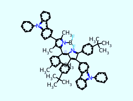 Cc1ccc(/C(=C2/N=C(c3ccc(C(C)(C)C)cc3)C(c3ccc4c(c3)c3ccccc3n4-c3ccccc3)=C2c2ccc(C(C)(C)C)cc2)c2c(C)c(-c3ccc4c(c3)c3ccccc3n4-c3ccccc3)c(C)n2B(F)F)c(C)c1